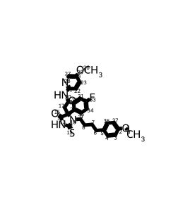 COc1ccc(CCCCN2C(=S)NC(=O)C2(CC(=O)Nc2ccc(OC)cn2)c2ccc(F)cc2)cc1